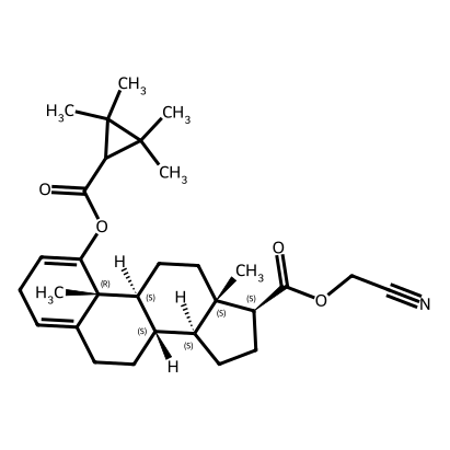 CC1(C)C(C(=O)OC2=CCC=C3CC[C@@H]4[C@H](CC[C@]5(C)[C@@H](C(=O)OCC#N)CC[C@@H]45)[C@]32C)C1(C)C